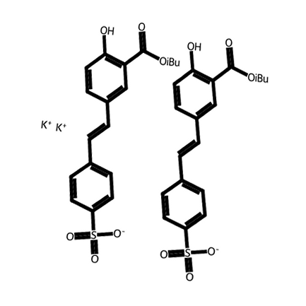 CC(C)COC(=O)c1cc(C=Cc2ccc(S(=O)(=O)[O-])cc2)ccc1O.CC(C)COC(=O)c1cc(C=Cc2ccc(S(=O)(=O)[O-])cc2)ccc1O.[K+].[K+]